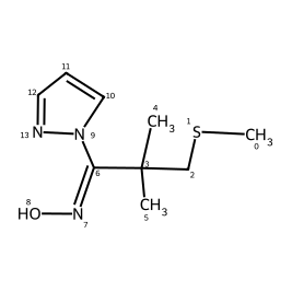 CSCC(C)(C)/C(=N/O)n1cccn1